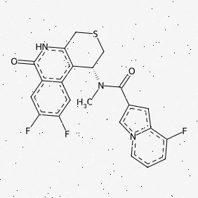 CN(C(=O)c1cc2c(F)cccn2c1)[C@H]1CSCc2[nH]c(=O)c3cc(F)c(F)cc3c21